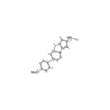 COc1ccc(-c2ccc3c(c2)Cc2sc(NI)nc2-3)cc1